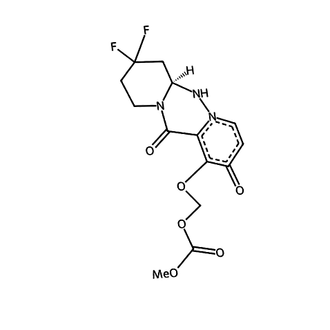 COC(=O)OCOc1c2n(ccc1=O)N[C@@H]1CC(F)(F)CCN1C2=O